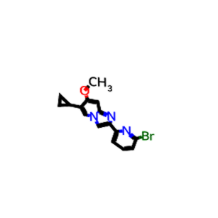 COc1cc2nc(-c3cccc(Br)n3)cn2cc1C1CC1